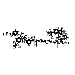 CCCOc1cccc(Oc2cc3c(cc2NS(=O)(=O)c2cccc(C(=O)NCCOCCOCCOCC(=O)NC(C(=O)N4CCC[C@H]4C(=O)N[C@@H](C)c4ccc(-c5scnc5C)cc4)C(C)(C)C)c2)n(C)c(=O)n3C)c1